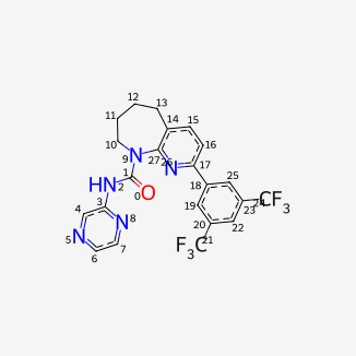 O=C(Nc1cnccn1)N1CCCCc2ccc(-c3cc(C(F)(F)F)cc(C(F)(F)F)c3)nc21